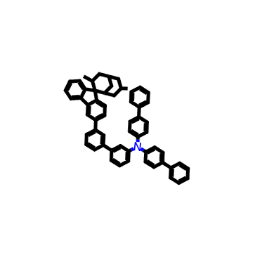 CC1CC2CC(C)C3(c4ccccc4-c4cc(-c5cccc(-c6cccc(N(c7ccc(-c8ccccc8)cc7)c7ccc(-c8ccccc8)cc7)c6)c5)ccc43)C(C1)C2